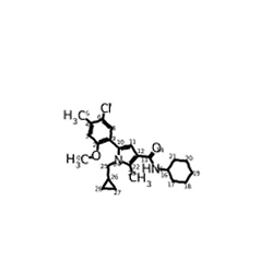 COc1cc(C)c(Cl)cc1-c1cc(C(=O)NC2CCCCC2)c(C)n1CC1CC1